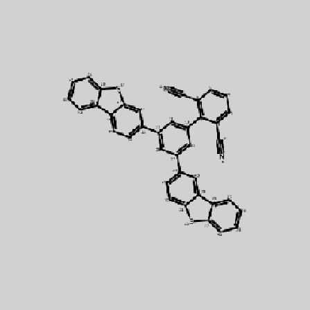 N#Cc1cccc(C#N)c1-c1cc(-c2ccc3c(c2)sc2ccccc23)cc(-c2ccc3sc4ccccc4c3c2)c1